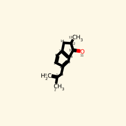 C=C(C)Cc1ccc2c(c1)C(=O)C(C)C2